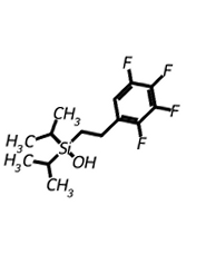 CC(C)[Si](O)(CCc1cc(F)c(F)c(F)c1F)C(C)C